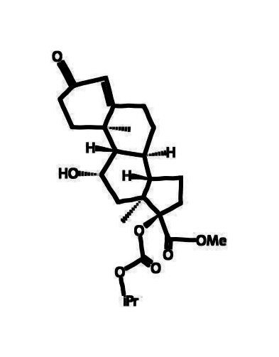 COC(=O)[C@@]1(OC(=O)OC(C)C)CC[C@H]2[C@@H]3CCC4=CC(=O)CC[C@]4(C)[C@H]3[C@@H](O)C[C@@]21C